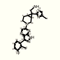 Cc1csc(C2(CN)C3CCN(c4cnc5c(-c6cccc(F)c6F)n[nH]c5n4)CC32)n1